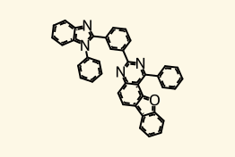 c1ccc(-c2nc(-c3cccc(-c4nc5ccccc5n4-c4ccccc4)c3)nc3ccc4c5ccccc5oc4c23)cc1